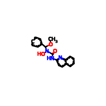 COC(c1ccccc1)N(O)C(=O)Nc1ccc2ccccc2n1